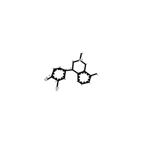 Cc1cccc2c1CN(C)CC2c1ccc(Cl)c(Cl)c1